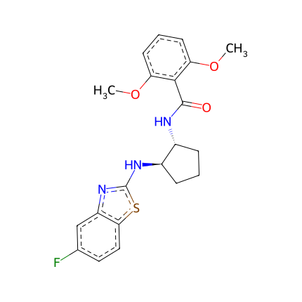 COc1cccc(OC)c1C(=O)N[C@@H]1CCC[C@H]1Nc1nc2cc(F)ccc2s1